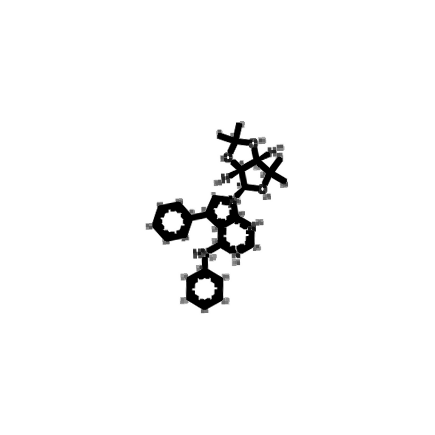 CC1(C)O[C@H]2[C@H](n3cc(-c4ccccc4)c4c(Nc5ccccc5)ncnc43)OC(C)(C)[C@H]2O1